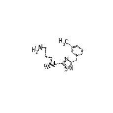 Cc1cccc(Cc2nsc(NCCCN)n2)c1